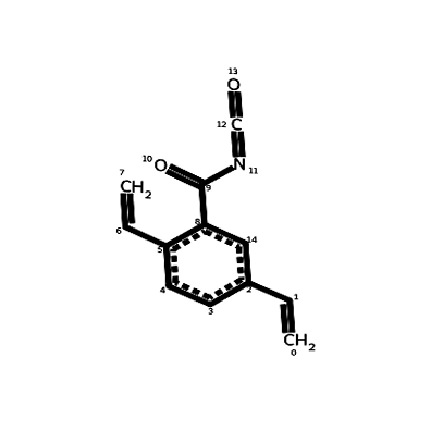 C=Cc1ccc(C=C)c(C(=O)N=C=O)c1